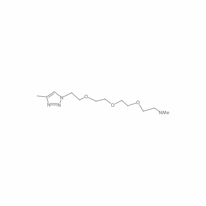 CNCCOCCOCCOCCn1cc(C)nn1